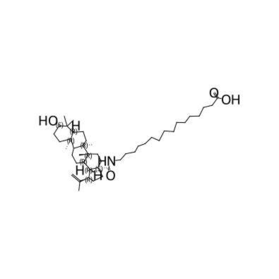 C=C(C)[C@@H]1CC[C@]2(C(=O)NCCCCCCCCCCCCCCCC(=O)O)CC[C@]3(C)[C@H](CCC4[C@@]5(C)CC[C@H](O)C(C)(C)[C@@H]5CC[C@]43C)[C@@H]12